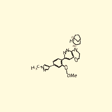 COCOc1cc(-c2cnn(C)c2)ccc1-c1cc2c(nn1)N([C@H]1CC3CC[C@@H](C3)C1)CCO2